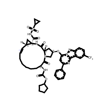 O=C(N[C@H]1CCCCC/C=C\[C@@H]2C[C@@]2(C(=O)NS(=O)(=O)C2CC2)NC(=O)[C@@H]2C[C@@H](Oc3cc(-c4ccccc4)nc4c5cc(C(F)(F)F)ccc5nn34)CN2C1=O)OC1CCCC1